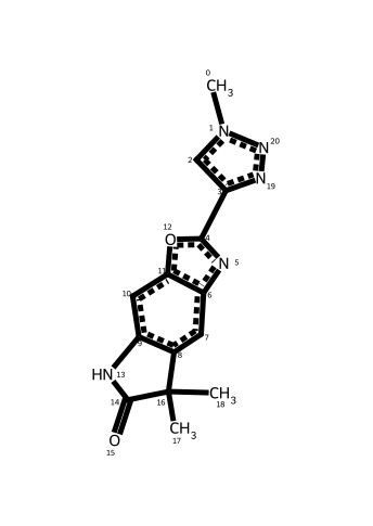 Cn1cc(-c2nc3cc4c(cc3o2)NC(=O)C4(C)C)nn1